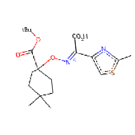 Cc1nc(/C(=N/OC2(C(=O)OC(C)(C)C)CCC(C)(C)CC2)C(=O)O)cs1